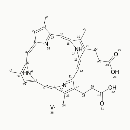 CC1=Cc2cc3[nH]c(cc4nc(cc5[nH]c(cc1n2)c(C)c5CCC(=O)O)C(CCC(=O)O)=C4C)cc3C.[V]